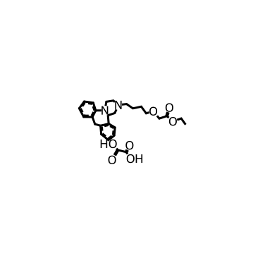 CCOC(=O)COCCCCN1CCN2c3ccccc3Cc3ccccc3C2C1.O=C(O)C(=O)O